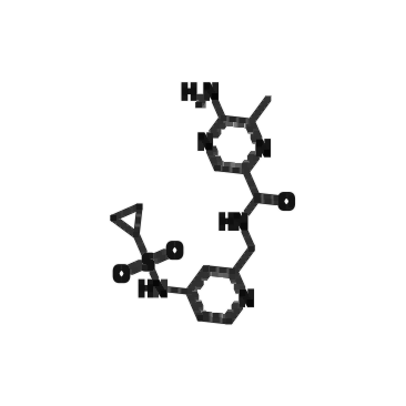 Cc1nc(C(=O)NCc2cc(NS(=O)(=O)C3CC3)ccn2)cnc1N